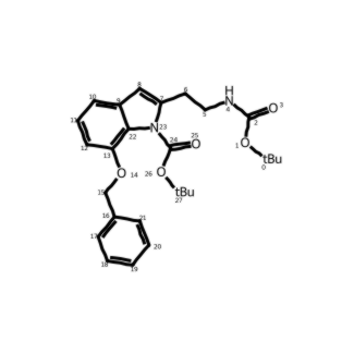 CC(C)(C)OC(=O)NCCc1cc2cccc(OCc3ccccc3)c2n1C(=O)OC(C)(C)C